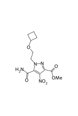 COC(=O)c1nn(CCOC2CCC2)c(C(N)=O)c1[N+](=O)[O-]